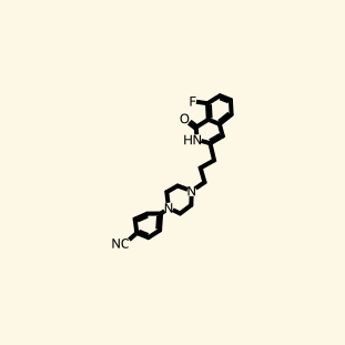 N#Cc1ccc(N2CCN(CCCc3cc4cccc(F)c4c(=O)[nH]3)CC2)cc1